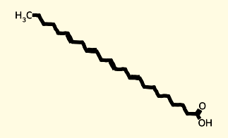 CCCCC/C=C/C/C=C/C/C=C/C/C=C/CCCCCCCC(=O)O